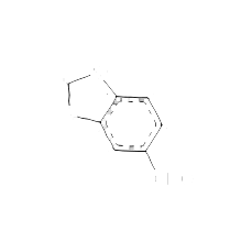 O=Cc1ccc2c(c1)SCS2